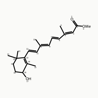 COC(=O)/C=C(C)/C=C/C=C(C)/C=C/C1=C(C)C(O)CCC1(C)C